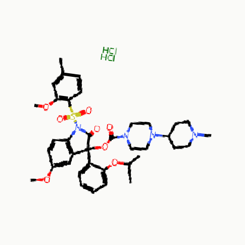 COc1ccc2c(c1)C(OC(=O)N1CCN(C3CCN(C)CC3)CC1)(c1ccccc1OC(C)C)C(=O)N2S(=O)(=O)c1ccc(C)cc1OC.Cl.Cl